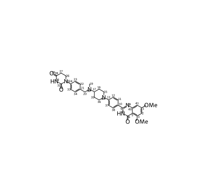 COc1cc(OC)c2c(=O)[nH]c(-c3ccc(N4CCC(N(C)Cc5ccc(N6CCC(=O)NC6=O)cc5)CC4)cc3)nc2c1